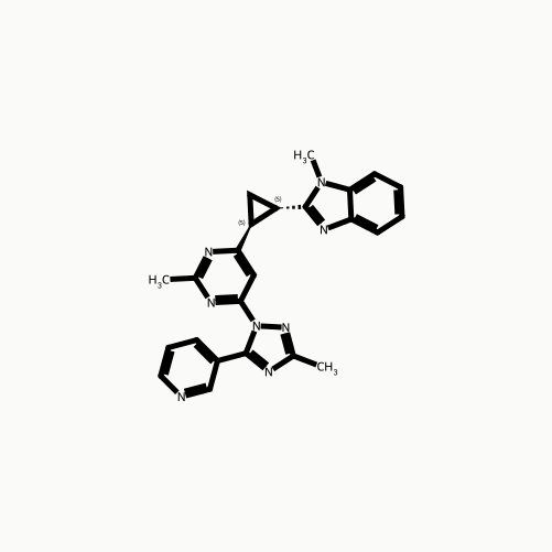 Cc1nc([C@H]2C[C@@H]2c2nc3ccccc3n2C)cc(-n2nc(C)nc2-c2cccnc2)n1